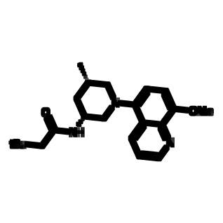 COc1ccc(N2C[C@@H](C)C[C@@H](NC(=O)CC(C)(C)C)C2)c2cccnc12